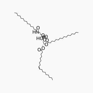 CCCCCCCC/C=C\CCCCCCCC(=O)OC[C@H](COP(=O)(O)OCCNC(=O)CCCCCCCCCCCCC)OC(=O)CCCCCCCCCCCCCCC